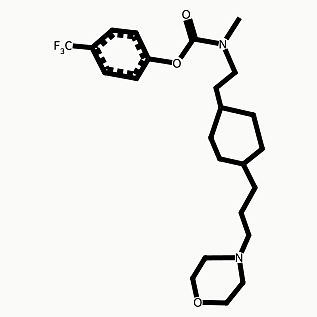 CN(CCC1CCC(CCCN2CCOCC2)CC1)C(=O)Oc1ccc(C(F)(F)F)cc1